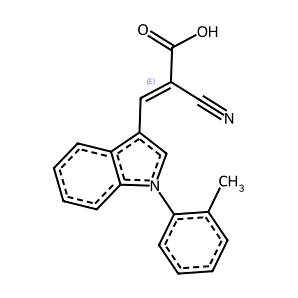 Cc1ccccc1-n1cc(/C=C(\C#N)C(=O)O)c2ccccc21